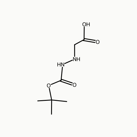 CC(C)(C)OC(=O)NNCC(=O)O